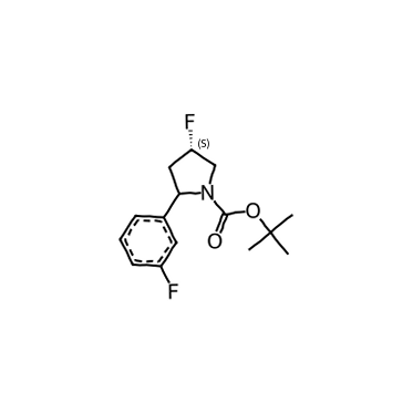 CC(C)(C)OC(=O)N1C[C@@H](F)CC1c1cccc(F)c1